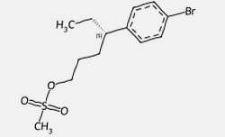 CC[C@@H](CCCOS(C)(=O)=O)c1ccc(Br)cc1